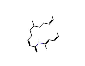 C=C(/C=C\CCC(C)CC/C=C\CC)N/C(C)=C/C=C\CC